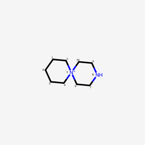 C1CC[N+]2(CC1)CCNCC2